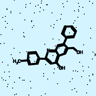 Cc1ccc(-c2cc(O)c3cc(CO)c(-c4ccccc4)cc3n2)cc1